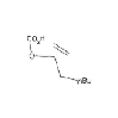 C=C.CCCCCCOC(=O)O